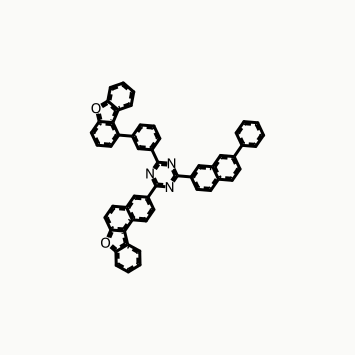 c1ccc(-c2ccc3ccc(-c4nc(-c5cccc(-c6cccc7oc8ccccc8c67)c5)nc(-c5ccc6c(ccc7oc8ccccc8c76)c5)n4)cc3c2)cc1